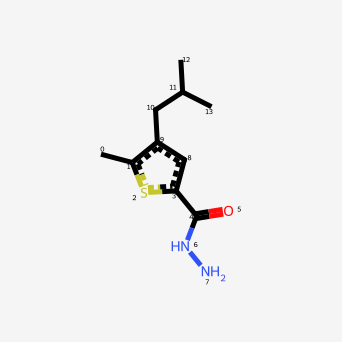 Cc1sc(C(=O)NN)cc1CC(C)C